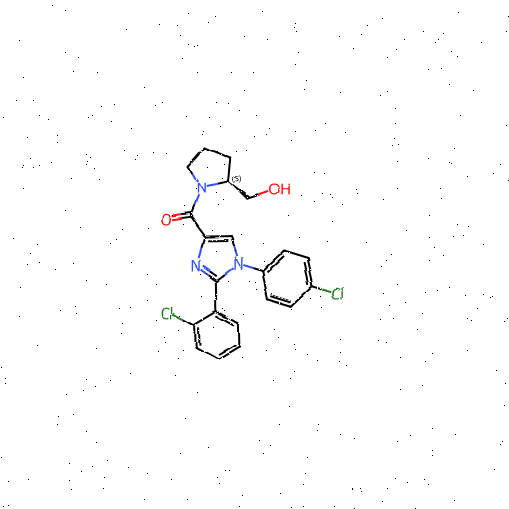 O=C(c1cn(-c2ccc(Cl)cc2)c(-c2ccccc2Cl)n1)N1CCC[C@H]1CO